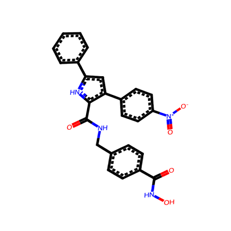 O=C(NO)c1ccc(CNC(=O)c2[nH]c(-c3ccccc3)cc2-c2ccc([N+](=O)[O-])cc2)cc1